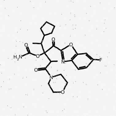 CC(C(=O)N1CCOCC1)C(OC(N)=O)(C(=O)c1nc2ccc(F)cc2o1)C(C)C1CCCC1